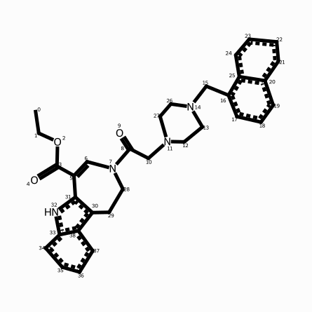 CCOC(=O)C1=CN(C(=O)CN2CCN(Cc3cccc4ccccc34)CC2)CCc2c1[nH]c1ccccc21